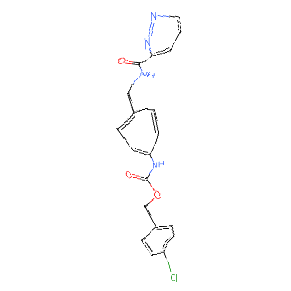 O=C(Nc1ccc(CNC(=O)c2cccnn2)cc1)OCc1ccc(Cl)cc1